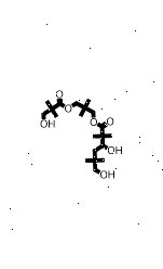 CC(C)(COC(=O)C(C)(C)CO)COC(=O)C(C)(C)C(O)CC(C)(C)CO